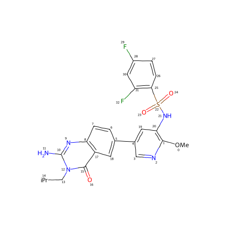 COc1ncc(-c2ccc3nc(N)n(CC(C)C)c(=O)c3c2)cc1NS(=O)(=O)c1ccc(F)cc1F